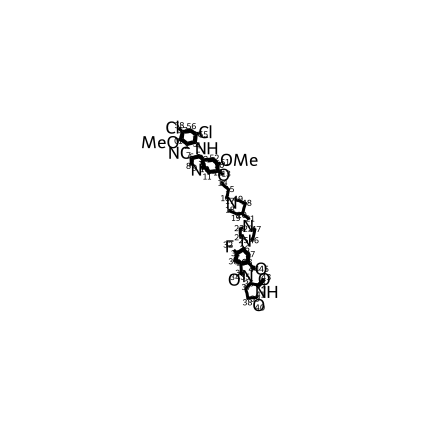 COc1cc(Nc2c(C#N)cnc3cc(OCCCN4CCC(CN5CCN(c6cc7c(cc6F)C(=O)N(C6CCC(=O)NC6=O)C7=O)CC5)CC4)c(OC)cc23)c(Cl)cc1Cl